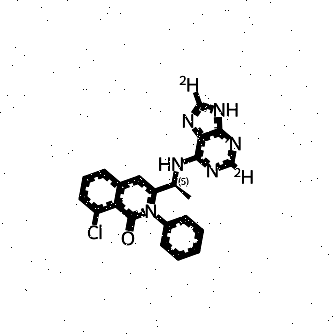 [2H]c1nc(N[C@@H](C)c2cc3cccc(Cl)c3c(=O)n2-c2ccccc2)c2nc([2H])[nH]c2n1